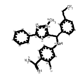 CCc1cccc(C(Nc2ccc(C(=N)N)c(F)c2)c2nc(-c3ccccc3)nn2C)c1